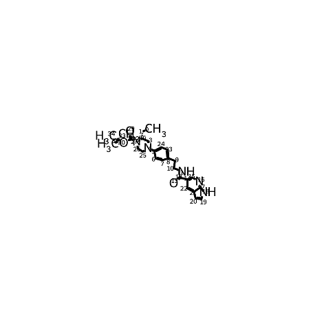 CC[C@@H]1CN(c2ccc(CCNC(=O)c3cnc4[nH]ccc4c3)cc2)CCN1C(=O)OC(C)(C)C